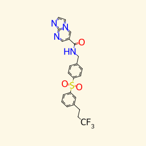 O=C(NCc1ccc(S(=O)(=O)c2cccc(CCC(F)(F)F)c2)cc1)c1cnc2nccn2c1